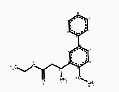 CCOC(=O)C[C@H](N)c1cc(-c2ccccc2)ccc1OC